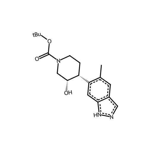 Cc1cc2cn[nH]c2cc1[C@H]1CCN(C(=O)OC(C)(C)C)C[C@H]1O